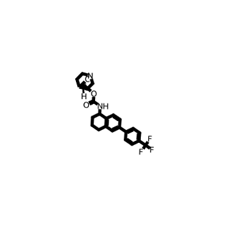 O=C(NC1CCCc2cc(-c3ccc(C(F)(F)F)cc3)ccc21)O[C@H]1CN2CCC1CC2